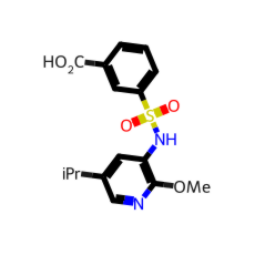 COc1ncc(C(C)C)cc1NS(=O)(=O)c1cccc(C(=O)O)c1